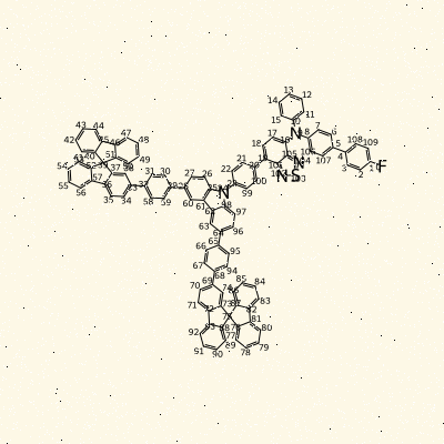 Fc1ccc(-c2ccc(N(c3ccccc3)c3ccc(-c4ccc(-n5c6ccc(-c7ccc(-c8ccc9c(c8)C8(c%10ccccc%10-c%10ccccc%108)c8ccccc8-9)cc7)cc6c6cc(-c7ccc(-c8ccc9c(c8)C8(c%10ccccc%10-c%10ccccc%108)c8ccccc8-9)cc7)ccc65)cc4)c4nsnc34)cc2)cc1